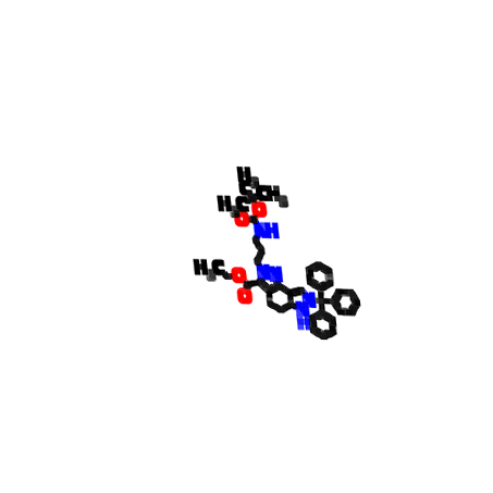 CCOC(=O)c1c2c(nn1CCCNC(=O)OC(C)(C)C)C1=CN(C(c3ccccc3)(c3ccccc3)c3ccccc3)NC1CC2